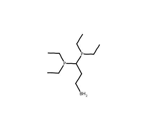 BCCC(P(CC)CC)P(CC)CC